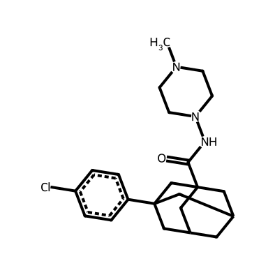 CN1CCN(NC(=O)C23CC4CC(C2)CC(c2ccc(Cl)cc2)(C4)C3)CC1